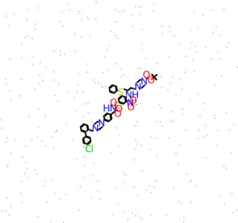 CC(C)(C)OC(=O)N1CCN(CCC(CSc2ccccc2)Nc2ccc(S(=O)(=O)NC(=O)c3ccc(N4CCN(Cc5ccccc5-c5ccc(Cl)cc5)CC4)cc3)cc2[N+](=O)[O-])CC1